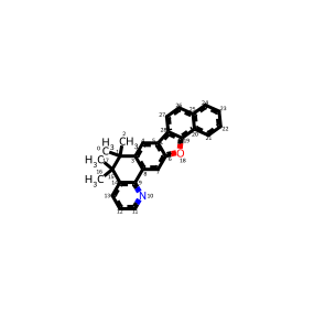 CC1(C)c2cc3c(cc2-c2ncccc2C1(C)C)oc1c2ccccc2ccc31